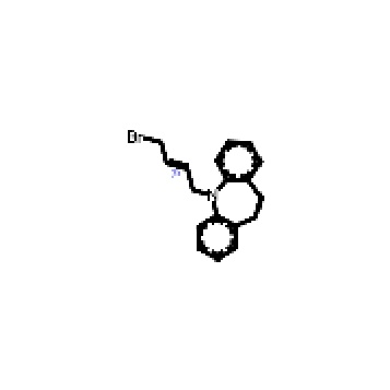 BrC/C=C/CN1c2ccccc2CCc2ccccc21